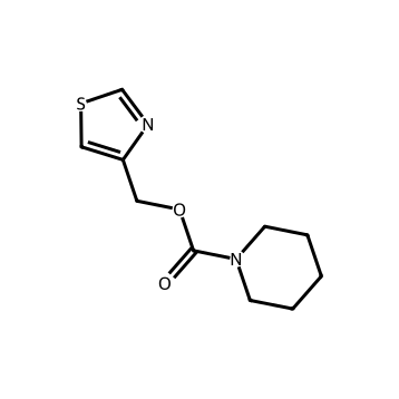 O=C(OCc1cscn1)N1CCCCC1